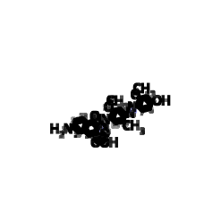 COc1cc(O)ccc1/N=N/c1cc(OC)c(N/N=C2\C(=O)c3ccc(N)cc3C=C2S(=O)(=O)O)cc1C